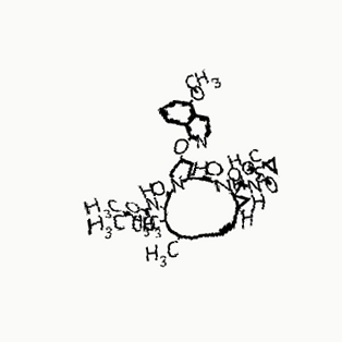 COc1cccc2c(O[C@@H]3C[C@H]4C(=O)N[C@]5(C(=O)NS(=O)(=O)C6(C)CC6)C[C@H]5/C=C\CC[C@H](C)C[C@@H](C)[C@H](NC(=O)OC(C)(C)C)C(=O)N4C3)nccc12